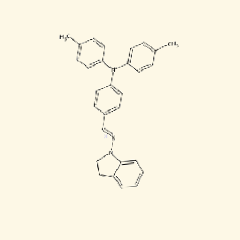 Cc1ccc(N(c2ccc(C)cc2)c2ccc(/C=N/N3CCc4ccccc43)cc2)cc1